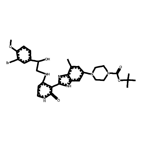 COc1ccc(C(O)CNc2cc[nH]c(=O)c2-c2nc3c(C)cc(N4CCN(C(=O)OC(C)(C)C)CC4)cc3[nH]2)cc1Br